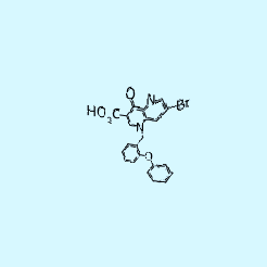 O=C(O)c1cn(Cc2ccccc2Oc2ccccc2)c2cc(Br)cnc2c1=O